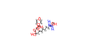 C1=COC=CO1.O=C(O)CC(CCCCCNNO)OO